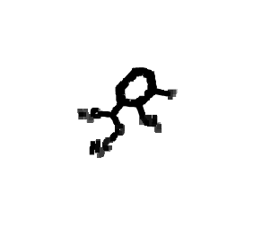 COC(C)c1cccc(F)c1N